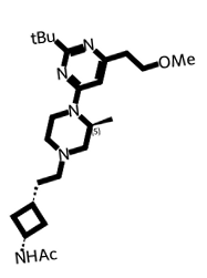 COCCc1cc(N2CCN(CC[C@H]3C[C@@H](NC(C)=O)C3)C[C@@H]2C)nc(C(C)(C)C)n1